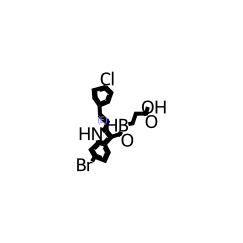 O=C(O)CCBC(=O)c1c(/C=C/c2ccc(Cl)cc2)[nH]c2cc(Br)ccc12